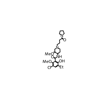 CCc1cc(Cl)c(OC)c(C(=O)N[C@@H]2CCN(CCCC(=O)N3CCCC3)C[C@@H]2OC)c1O